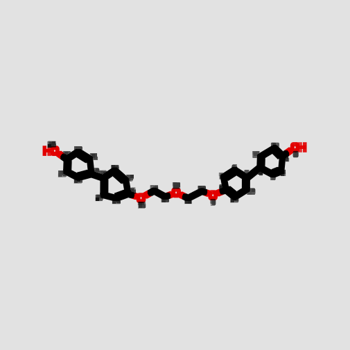 Oc1ccc(-c2ccc(OCCOCCOc3ccc(-c4ccc(O)cc4)cc3)cc2)cc1